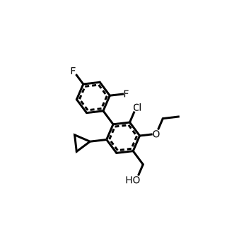 CCOc1c(CO)cc(C2CC2)c(-c2ccc(F)cc2F)c1Cl